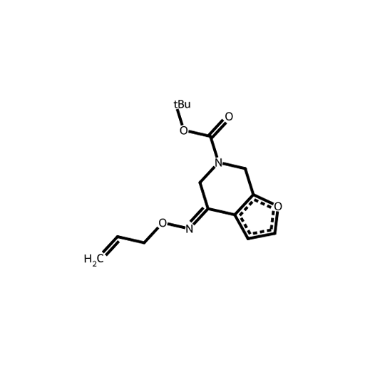 C=CCON=C1CN(C(=O)OC(C)(C)C)Cc2occc21